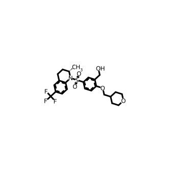 C[C@H]1CCc2cc(C(F)(F)F)ccc2N1S(=O)(=O)c1ccc(OCC2CCOCC2)c(CO)c1